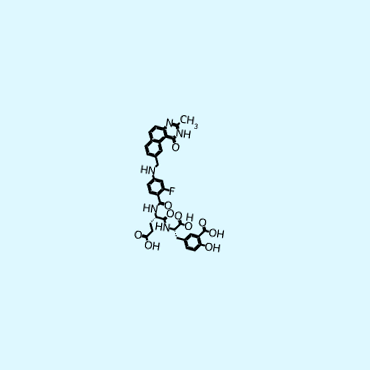 Cc1nc2ccc3ccc(CNc4ccc(C(=O)N[C@@H](CCC(=O)O)C(=O)N[C@@H](Cc5ccc(O)c(C(=O)O)c5)C(=O)O)c(F)c4)cc3c2c(=O)[nH]1